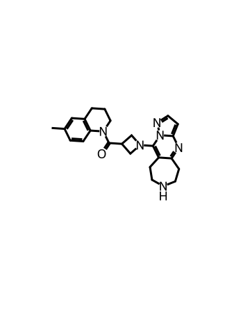 Cc1ccc2c(c1)CCCN2C(=O)C1CN(c2c3c(nc4ccnn24)CCNCC3)C1